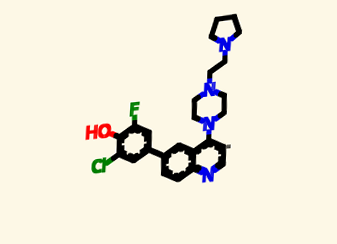 Oc1c(F)cc(-c2ccc3nc[c]c(N4CCN(CCN5CCCC5)CC4)c3c2)cc1Cl